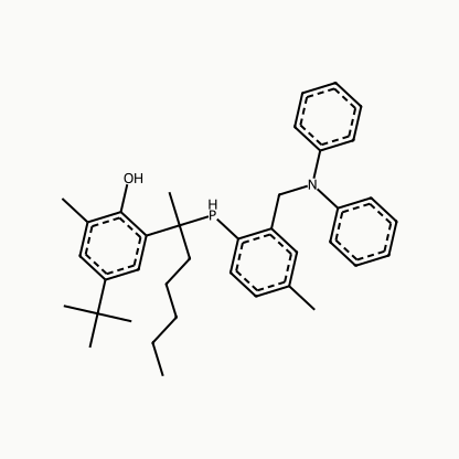 CCCCCC(C)(Pc1ccc(C)cc1CN(c1ccccc1)c1ccccc1)c1cc(C(C)(C)C)cc(C)c1O